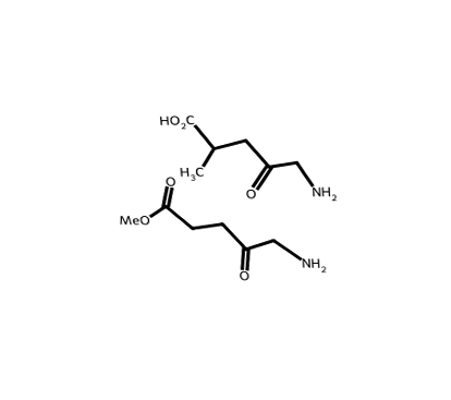 CC(CC(=O)CN)C(=O)O.COC(=O)CCC(=O)CN